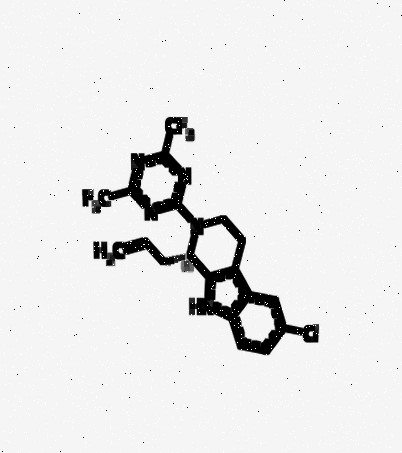 C=CC[C@H]1c2[nH]c3ccc(Cl)cc3c2CCN1c1nc(C(F)(F)F)nc(C(F)(F)F)n1